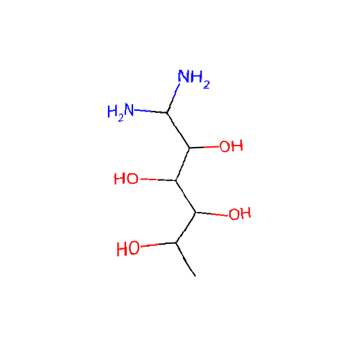 CC(O)C(O)C(O)C(O)C(N)N